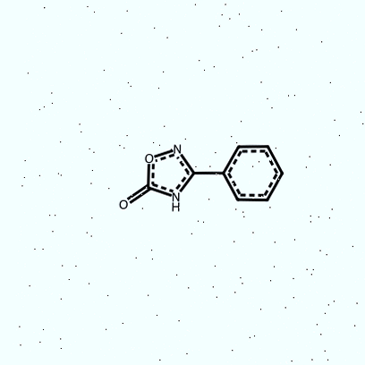 O=c1[nH]c(-c2ccccc2)no1